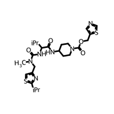 CC(C)c1nc(CN(C)C(=O)NC(C(=O)NC2CCN(C(=O)OCc3cncs3)CC2)C(C)C)cs1